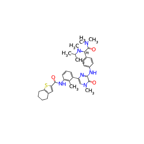 Cc1c(NC(=O)c2cc3c(s2)CCCC3)cccc1-c1cn(C)c(=O)c(Nc2ccc([C@H](C(=O)N(C)C)N(C)C(C)C)cc2)n1